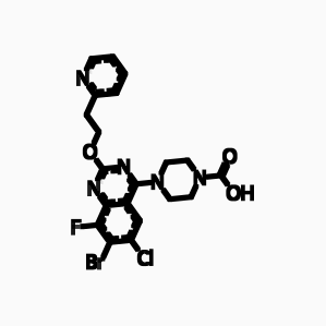 O=C(O)N1CCN(c2nc(OCCc3ccccn3)nc3c(F)c(Br)c(Cl)cc23)CC1